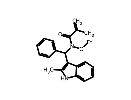 C=C(C)C(=O)N(OCC)C(c1ccccc1)c1c(C)[nH]c2ccccc12